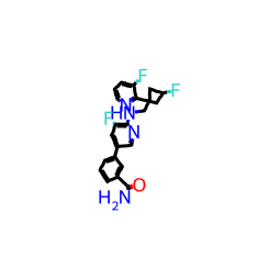 NC(=O)c1cccc(-c2cnc(NCC3(c4ncccc4F)CC(F)C3)c(F)c2)c1